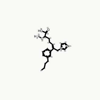 CCCCc1cccc(/C(=C\CCC(ON)C(=O)O)Cn2ccnc2)c1